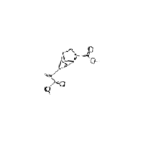 C=C(C(=O)OC)C1C2C3CC(C(=O)OC)C(C3)C12